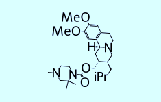 COc1cc2c(cc1OC)[C@H]1C[C@@H](COC(=O)N3CCN(C)CC3(C)C)[C@H](CC(C)C)CN1CC2